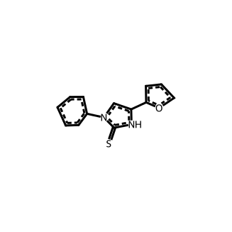 S=c1[nH]c(-c2ccco2)cn1-c1ccccc1